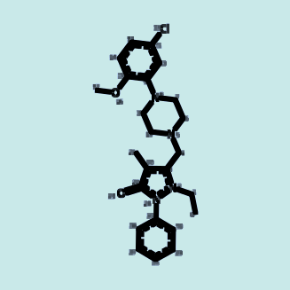 CCn1c(CN2CCN(c3cc(Cl)ccc3OC)CC2)c(C)c(=O)n1-c1ccccc1